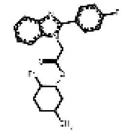 CC1CCC(C(C)C)[C@H](OC(=O)Cn2c(-c3ccc(F)cc3)nc3ccccc32)C1